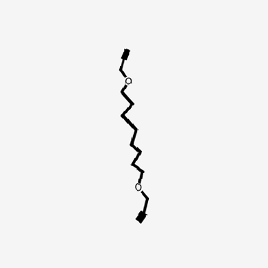 C#CCOCCCCCCCCOCC#C